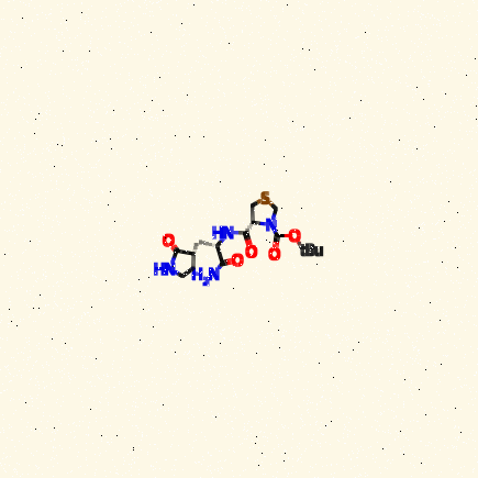 CC(C)(C)OC(=O)N1CSC[C@H]1C(=O)N[C@@H](C[C@@H]1CCNC1=O)C(N)=O